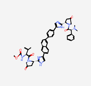 COC(=O)N[C@H](C(=O)N1CC(=O)C[C@H]1c1nc(-c2ccc3cc(-c4ccc(-c5cnc([C@@H]6CC(=O)CN6C(=O)[C@@H](c6ccccc6)N(C)C)[nH]5)cc4)ccc3c2)c[nH]1)C(C)C